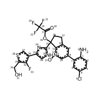 Nc1ccc(Cl)cc1-c1cc2c([n+]([O-])c1)C(OC(=O)C(F)(F)F)(c1nc(-c3csc(CO)c3F)c[nH]1)CC2